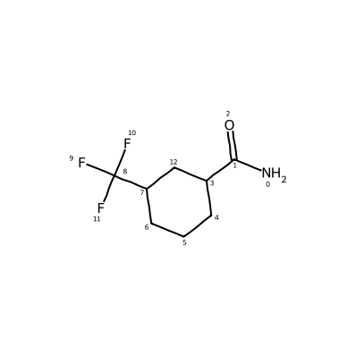 NC(=O)C1CCCC(C(F)(F)F)C1